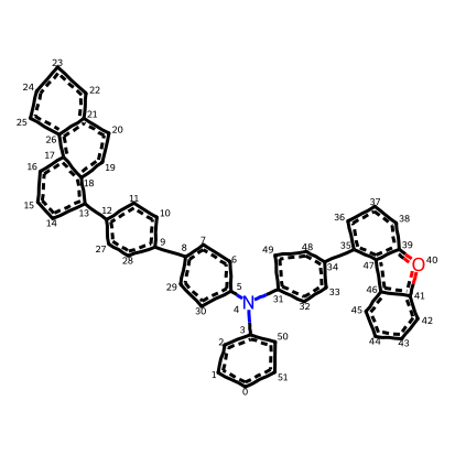 c1ccc(N(c2ccc(-c3ccc(-c4cccc5c4ccc4ccccc45)cc3)cc2)c2ccc(-c3cccc4oc5ccccc5c34)cc2)cc1